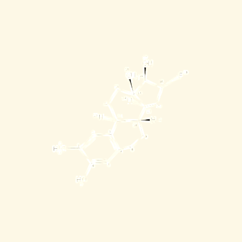 Cc1cc2c(cc1O)CC[C@@H]1[C@@H]2CC[C@]2(C)[C@@H](O)[C@H](F)C[C@@H]12